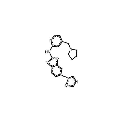 c1cc(CN2CCCC2)cc(Nc2nc3ccc(-n4cncn4)cc3s2)n1